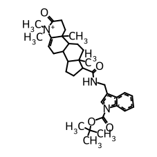 CC(C)(C)OC(=O)n1cc(CNC(=O)C2CCC3C4CC=C5C(C)(CCC(=O)[N+]5(C)C)C4CCC23C)c2ccccc21